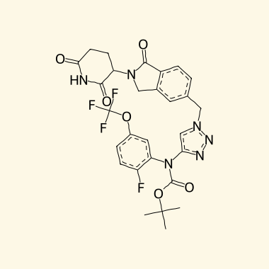 CC(C)(C)OC(=O)N(c1cn(Cc2ccc3c(c2)CN(C2CCC(=O)NC2=O)C3=O)nn1)c1cc(OC(F)(F)F)ccc1F